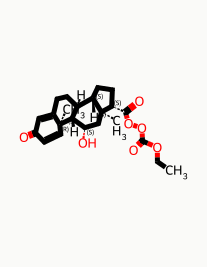 CCOC(=O)OOC(=O)[C@H]1CC[C@H]2[C@@H]3CCC4=CC(=O)C=C[C@]4(C)[C@H]3[C@@H](O)C[C@]12C